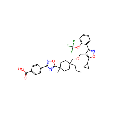 CCCC1(COCc2c(-c3ccccc3OC(F)(F)F)noc2C2CC2)CCC(C)(c2nc(-c3ccc(C(=O)O)cc3)no2)CC1